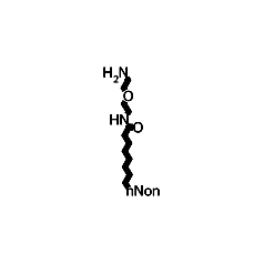 CCCCCCCCCCCCCCCCC(=O)NCCOCCN